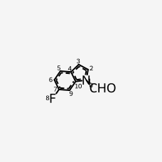 O=Cn1ccc2ccc(F)cc21